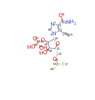 C#Cc1c(C(N)=O)ncn1[C@@H]1O[C@H](COC(F)F)[C@@H](O)[C@H]1OP(=O)(O)O